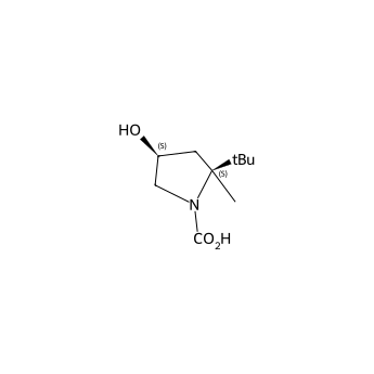 CC(C)(C)[C@]1(C)C[C@H](O)CN1C(=O)O